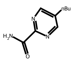 CCCCc1cnc(C(N)=O)nc1